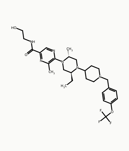 CC[C@H]1CN(c2ncc(C(=O)NCCO)nc2C)[C@H](C)CN1C1CCN(Cc2ccc(OC(F)(F)F)cc2)CC1